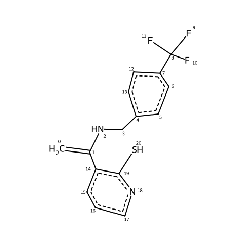 C=C(NCc1ccc(C(F)(F)F)cc1)c1cccnc1S